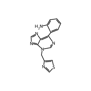 Nc1ccccc1-c1ncn(Cc2cscn2)c2ncnc1-2